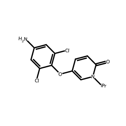 CC(C)n1cc(Oc2c(Cl)cc(N)cc2Cl)ccc1=O